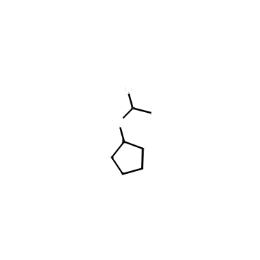 CCC(C)OC1[CH]CCC1